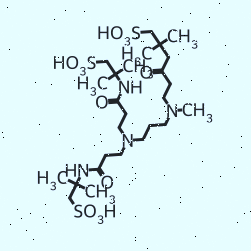 CN(CCCN(CCC(=O)NC(C)(C)CS(=O)(=O)O)CCC(=O)NC(C)(C)CS(=O)(=O)O)CCC(=O)CC(C)(C)CS(=O)(=O)O